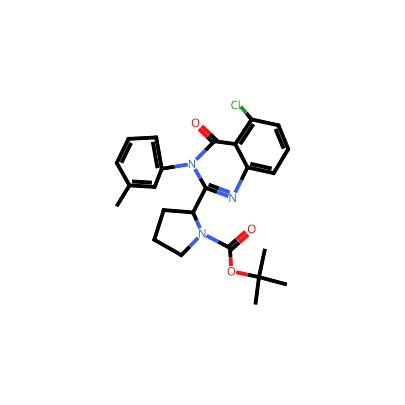 Cc1cccc(-n2c(C3CCCN3C(=O)OC(C)(C)C)nc3cccc(Cl)c3c2=O)c1